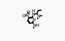 CCC(Nc1nc(NC)ccc1[N+](=O)[O-])N(C)C